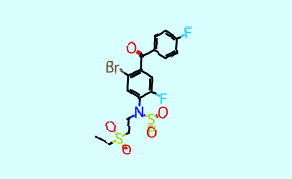 CCS(=O)(=O)CCN(c1cc(Br)c(C(=O)c2ccc(F)cc2)cc1F)[SH](=O)=O